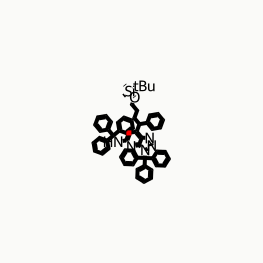 CC(C)(C)[Si](C)(C)OCCCC(c1ccccc1)c1cc(NC(c2ccccc2)(c2ccccc2)c2ccccc2)nc2c1nnn2C(c1ccccc1)(c1ccccc1)c1ccccc1